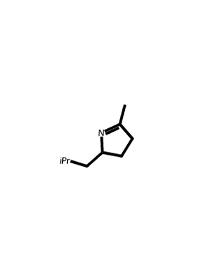 CC1=NC(CC(C)C)CC1